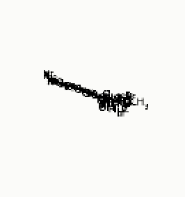 Cc1cc(C)c(NC(=O)CC[C@H](NC(=O)O)C(=O)NCCOCCOCCOCCOCCOCCN=[N+]=[N-])c(C)c1Br